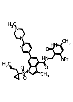 C=CCC1(S(=O)(=O)n2cc(C)c3c(C(=O)NCc4c(CCC)cc(C)[nH]c4=O)cc(-c4ccc(N5CCN(C)CC5)nc4)cc32)CC1